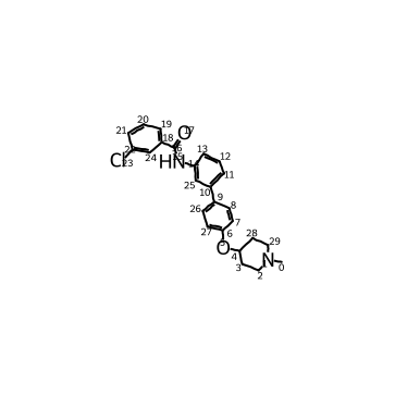 CN1CCC(Oc2ccc(-c3cccc(NC(=O)c4cccc(Cl)c4)c3)cc2)CC1